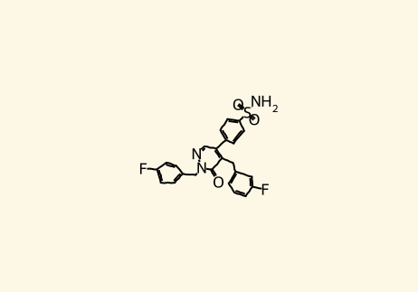 NS(=O)(=O)c1ccc(-c2cnn(Cc3ccc(F)cc3)c(=O)c2Cc2cccc(F)c2)cc1